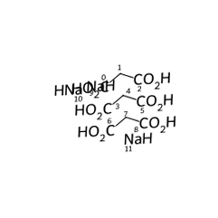 O=C(O)CC(=O)O.O=C(O)CC(=O)O.O=C(O)CC(=O)O.[NaH].[NaH].[NaH]